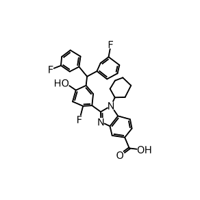 O=C(O)c1ccc2c(c1)nc(-c1cc(C(c3cccc(F)c3)c3cccc(F)c3)c(O)cc1F)n2C1CCCCC1